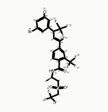 C[C@H](CS(=O)(=O)CC(F)(F)F)NC(=O)c1ccc(/C(F)=C/C(c2cc(Cl)cc(Br)c2)C(F)(F)F)cc1C(F)(F)F